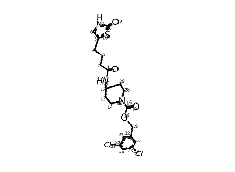 O=C(CCCc1c[nH]c(=O)s1)NC1CCN(C(=O)OCc2cc(Cl)cc(Cl)c2)CC1